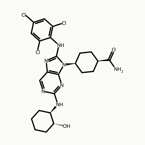 NC(=O)[C@H]1CC[C@@H](n2c(Nc3c(Cl)cc(Cl)cc3Cl)nc3cnc(N[C@@H]4CCCC[C@H]4O)nc32)CC1